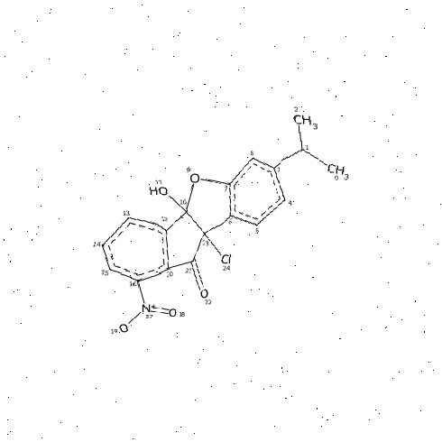 CC(C)c1ccc2c(c1)OC1(O)c3cccc([N+](=O)[O-])c3C(=O)C21Cl